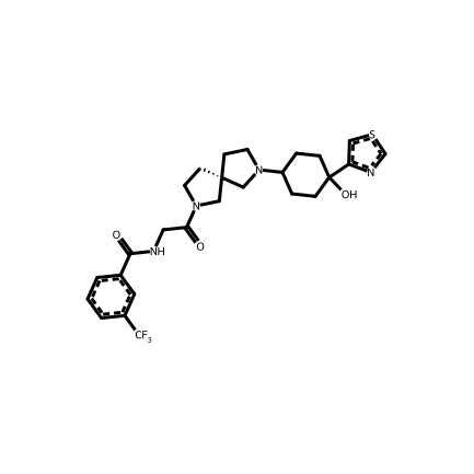 O=C(NCC(=O)N1CC[C@@]2(CCN(C3CCC(O)(c4cscn4)CC3)C2)C1)c1cccc(C(F)(F)F)c1